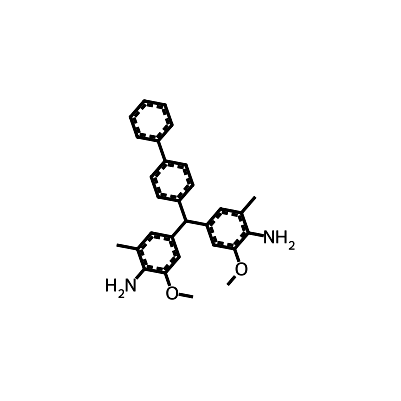 COc1cc(C(c2ccc(-c3ccccc3)cc2)c2cc(C)c(N)c(OC)c2)cc(C)c1N